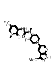 COc1n[nH]c2ncc(N3CC[C@H](N(C)C(=O)Nc4cc(C(F)(F)F)cn(C)c4=O)[C@@H](F)C3)cc12